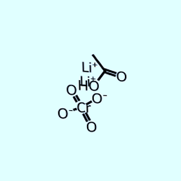 CC(=O)O.[Li+].[Li+].[O]=[Cr](=[O])([O-])[O-]